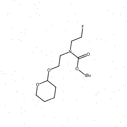 CC(C)(C)OC(=O)N(CCF)CCOC1CCCCO1